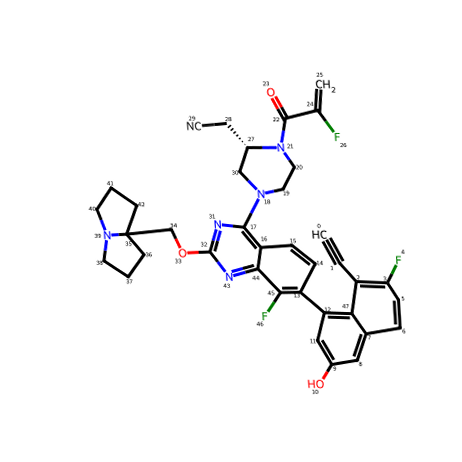 C#Cc1c(F)ccc2cc(O)cc(-c3ccc4c(N5CCN(C(=O)C(=C)F)[C@@H](CC#N)C5)nc(OCC56CCCN5CCC6)nc4c3F)c12